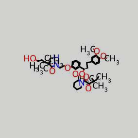 CCC(C)(C)C(=O)C(=O)N1CCCC[C@H]1C(=O)O[C@H](CCc1ccc(OC)c(OC)c1)c1cccc(OCCNC(=O)C(C)(C)C(C)(C)CCO)c1